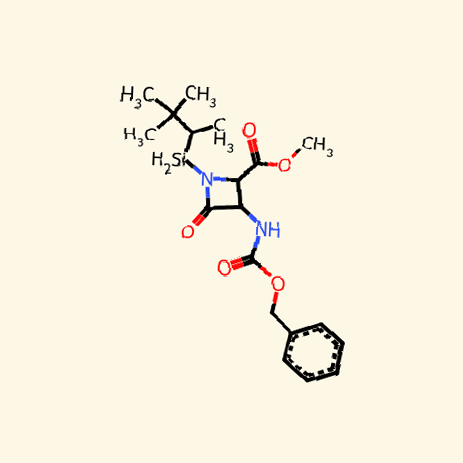 COC(=O)C1C(NC(=O)OCc2ccccc2)C(=O)N1[SiH2]C(C)C(C)(C)C